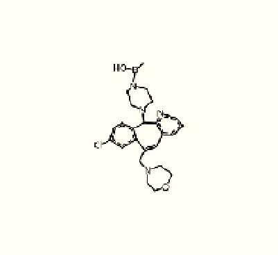 CB(O)N1CCN(C2c3ccc(Cl)cc3C(CN3CCOCC3)=Cc3cccnc32)CC1